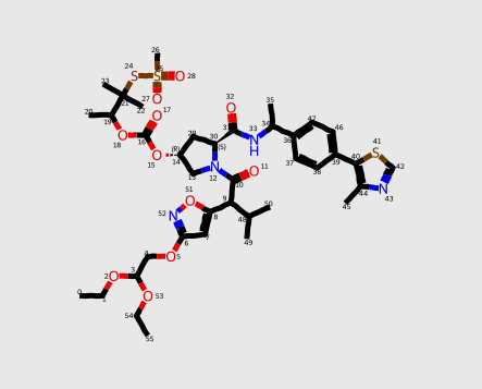 CCOC(COc1cc(C(C(=O)N2C[C@H](OC(=O)OC(C)C(C)(C)SS(C)(=O)=O)C[C@H]2C(=O)NC(C)c2ccc(-c3scnc3C)cc2)C(C)C)on1)OCC